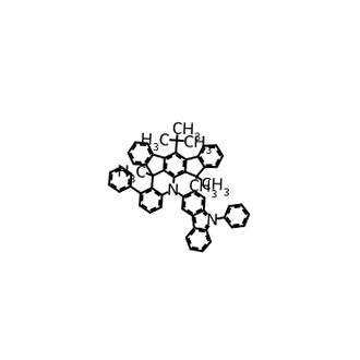 CC(C)(C)c1c2c(c3c4c1-c1ccccc1C4(C)c1c(-c4ccccc4)cccc1N3c1ccc3c(c1)c1ccccc1n3-c1ccccc1)C(C)(C)c1ccccc1-2